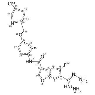 N/N=C(\NN)c1cc2occ(C(=O)Nc3ccc(OCc4ccc(Cl)cn4)cc3)c2cc1F